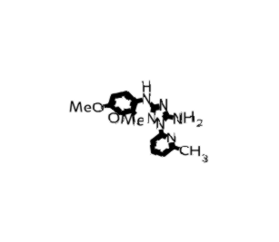 COc1ccc(Nc2nc(N)n(-c3cccc(C)n3)n2)c(OC)c1